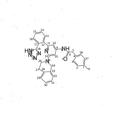 Cc1ccc(CC(=O)Nc2cc(-c3ccccc3-c3nnn[nH]3)nc(N3CCc4ccccc4C3)c2)cc1